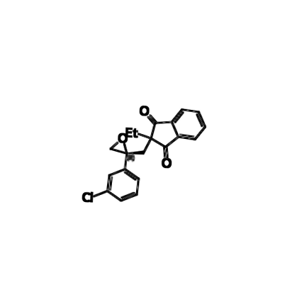 CCC1(C[C@@]2(c3cccc(Cl)c3)CO2)C(=O)c2ccccc2C1=O